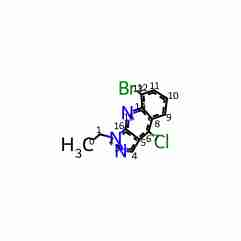 CCn1ncc2c(Cl)c3cccc(Br)c3nc21